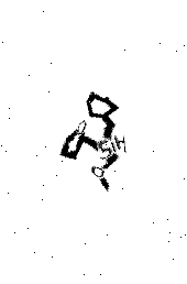 COC[SiH](CC1CCCCC1)c1ccco1